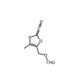 CC1=C(COC=O)OC(=C=O)O1